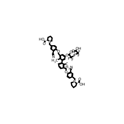 Cc1c(COc2ccc(CN3CCCC[C@H]3C(=O)O)cc2C#N)cccc1-c1cccc(COc2ccc(CN3CCCC[C@H]3C(=O)O)cc2C#N)c1C.O=C(O)C(F)(F)F.O=C(O)C(F)(F)F